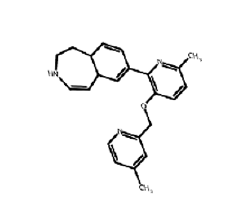 Cc1ccnc(COc2ccc(C)nc2C2=CC3C=CNCCC3C=C2)c1